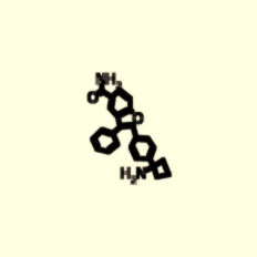 NC(=O)c1ccc2oc(-c3ccc(C4(N)CCC4)cc3)c(-c3ccccc3)c2c1